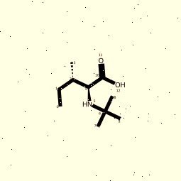 CC[C@H](C)[C@H](NC(C)(C)C)C(=O)O